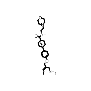 NC/C(=C\F)COc1ccc(C23CCC(C(=O)NCCN4CCOCC4)(CC2)CC3)cc1